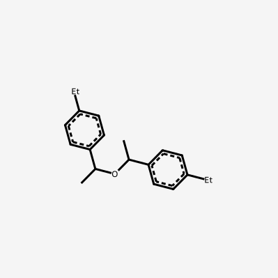 CCc1ccc(C(C)OC(C)c2ccc(CC)cc2)cc1